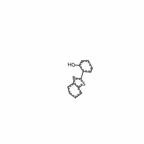 Oc1ccccc1-c1bc2ccccc2s1